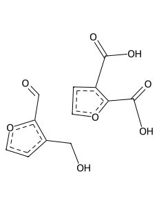 O=C(O)c1ccoc1C(=O)O.O=Cc1occc1CO